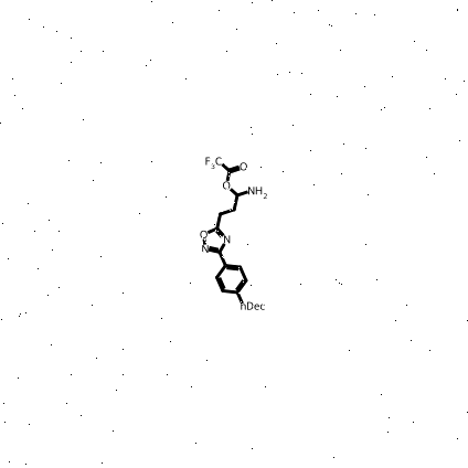 CCCCCCCCCCc1ccc(-c2noc(CCC(N)OC(=O)C(F)(F)F)n2)cc1